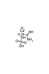 N=C(N)N.O=S(=O)(O)O.[GaH3]